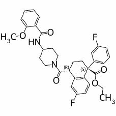 CCOC(=O)[C@]1(c2cccc(F)c2)CC[C@@H](C(=O)N2CCC(NC(=O)c3ccccc3OC)CC2)c2cc(F)ccc21